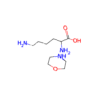 C1COCCN1.NCCCCC(N)C(=O)O